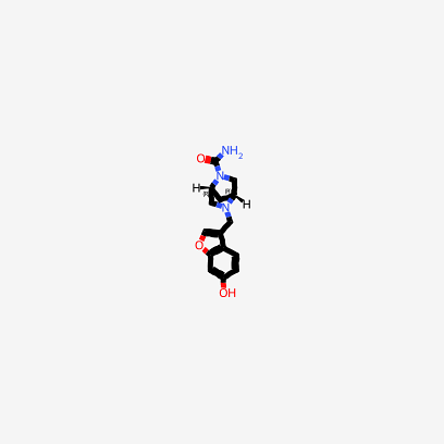 NC(=O)N1C[C@H]2C[C@@H]1CN2Cc1coc2cc(O)ccc12